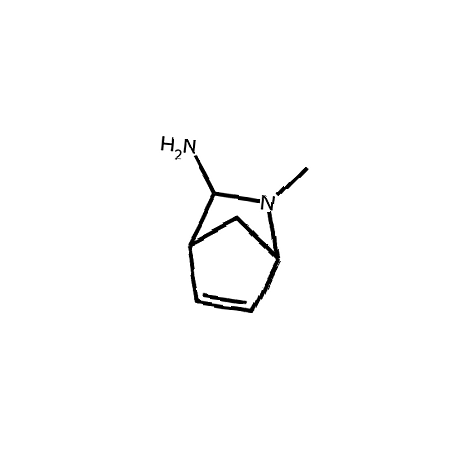 CN1C2C=CC(C2)C1N